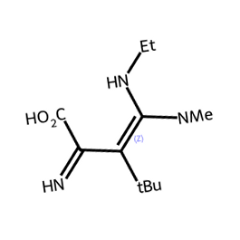 CCN/C(NC)=C(\C(=N)C(=O)O)C(C)(C)C